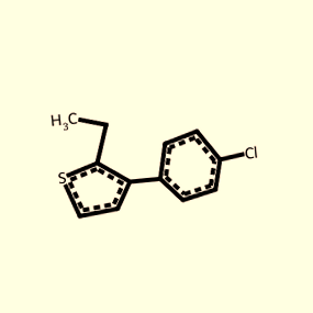 CCc1sccc1-c1ccc(Cl)cc1